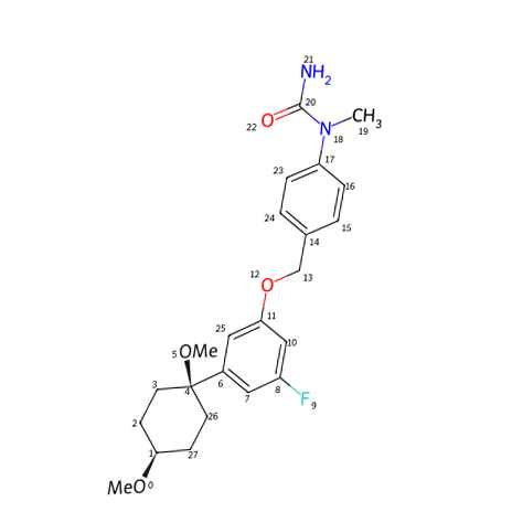 CO[C@H]1CC[C@](OC)(c2cc(F)cc(OCc3ccc(N(C)C(N)=O)cc3)c2)CC1